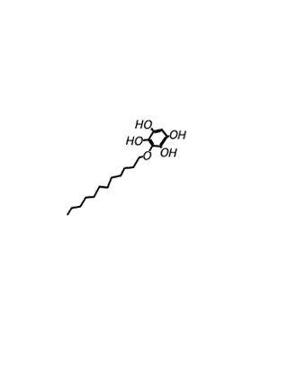 CCCCCCCCCCCCOc1c(O)c(O)cc(O)c1O